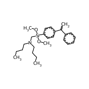 C=C(c1ccccc1)c1ccc([Si](CN(CCCC)CCCC)(OC)OC)cc1